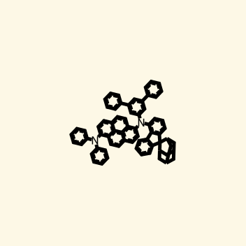 c1ccc(-c2cc(-c3ccccc3)cc(N(c3cccc4c3-c3ccccc3C43C4CC5CC(C4)CC3C5)c3ccc4ccc5c(N(c6ccccc6)c6ccccc6)ccc6ccc3c4c65)c2)cc1